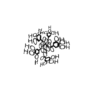 O=C(OCC1O[C@@H](OC(=O)c2cc(O)c(O)c(O)c2)[C@H](OC(=O)c2cc(O)c(O)c(O)c2)[C@@H](OC(=O)c2cc(O)c(O)c(O)c2)C1OC(=O)c1cc(O)c(O)c(O)c1)c1cc(O)c(O)c(O)c1